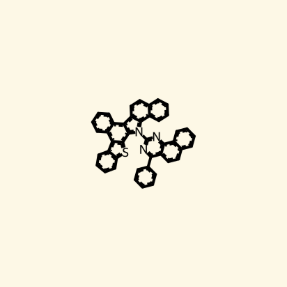 c1ccc(-c2nc(-n3c4c5ccccc5ccc4c4c5ccccc5c5c6ccccc6sc5c43)nc3c2ccc2ccccc23)cc1